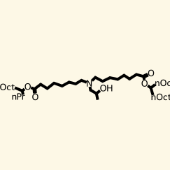 CCCCCCCCC(CCC)OC(=O)CCCCCCCN(CCCCCCCC(=O)OC(CCCCCCCC)CCCCCCCC)CC(C)O